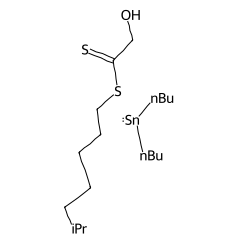 CC(C)CCCCCSC(=S)CO.CCC[CH2][Sn][CH2]CCC